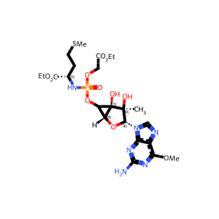 CCOC(=O)COP(=O)(N[C@@H](CCSC)C(=O)OCC)OC1[C@H]2O[C@@H](n3cnc4c(OC)nc(N)nc43)[C@](C)(O)[C@@]12O